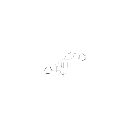 Cc1cccc([C@](O)(C(=O)NCC2C3CN(Cc4ccccc4)CC23)C2CCCC2)c1